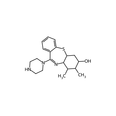 CC1C(O)CC2Sc3ccccc3C(N3CCNCC3)=NC2C1C